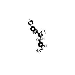 COc1ccc(C(=O)Nc2cc(-c3nc4cc(N5CCOCC5)ccc4[nH]3)n(C)n2)cc1Cl